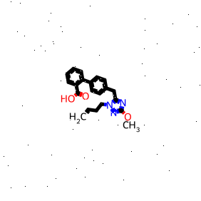 C=CCCn1nc(OC)nc1Cc1ccc(-c2ccccc2C(=O)O)cc1